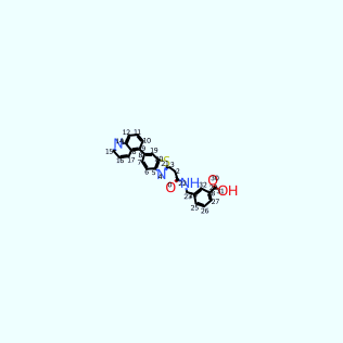 O=C(Cc1nc2ccc(-c3cccc4ncccc34)cc2s1)NCc1cccc(C(=O)O)c1